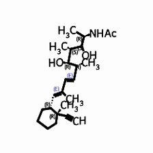 C#C[C@]1(C)CCCC[C@@H]1/C=C(C)/C=C/[C@@H](C)[C@@H](O)[C@H](C)[C@H](O)[C@@H](C)NC(C)=O